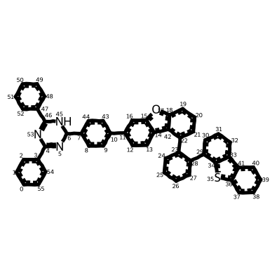 c1ccc(C2=NC(c3ccc(-c4ccc5c(c4)oc4cccc(-c6ccccc6-c6cccc7c6sc6ccccc67)c45)cc3)NC(c3ccccc3)=N2)cc1